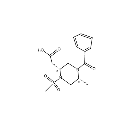 C[C@@H]1CN(S(C)(=O)=O)[C@H](CC(=O)O)CN1C(=O)c1ccccc1